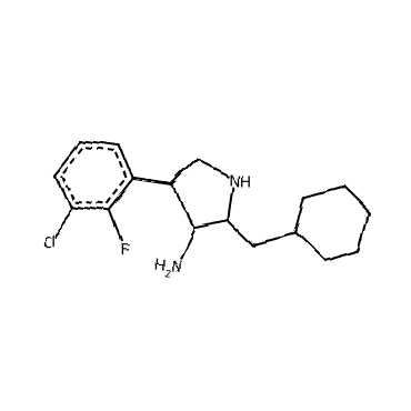 NC1C(CC2CCCCC2)NCC1c1cccc(Cl)c1F